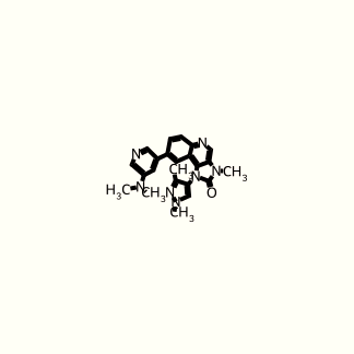 Cc1nn(C)cc1-n1c(=O)n(C)c2cnc3ccc(-c4cncc(N(C)C)c4)cc3c21